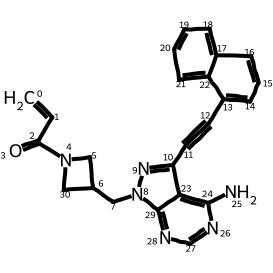 C=CC(=O)N1CC(Cn2nc(C#Cc3cccc4ccccc34)c3c(N)ncnc32)C1